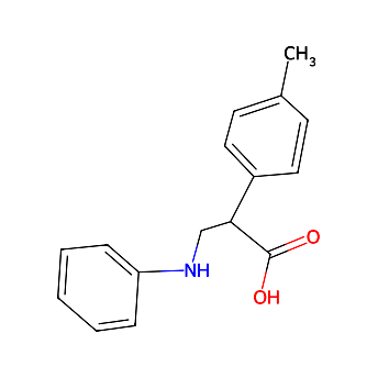 Cc1ccc(C(CNc2ccccc2)C(=O)O)cc1